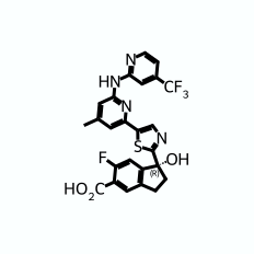 Cc1cc(Nc2cc(C(F)(F)F)ccn2)nc(-c2cnc([C@@]3(O)CCc4cc(C(=O)O)c(F)cc43)s2)c1